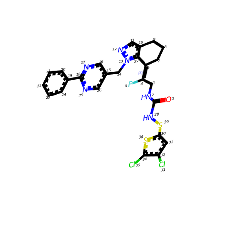 O=C(NC/C(F)=C1\CCCc2cnn(Cc3cnc(-c4ccccc4)nc3)c21)NSc1cc(Cl)c(Cl)s1